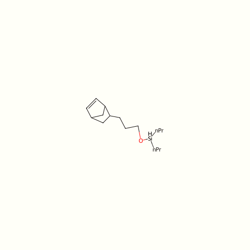 CCC[SiH](CCC)OCCCC1CC2C=CC1C2